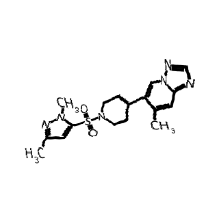 Cc1cc(S(=O)(=O)N2CCC(c3cn4ncnc4cc3C)CC2)n(C)n1